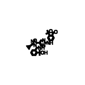 CC(C)(O)c1ccccc1CNc1nc(Nc2ccc3c(c2)C(C)(C)OC3=O)ncc1-c1nc(C2CC2)no1